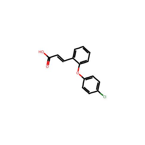 O=C(O)C=Cc1ccccc1Oc1ccc(Cl)cc1